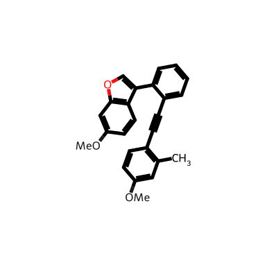 COc1ccc(C#Cc2ccccc2-c2coc3cc(OC)ccc23)c(C)c1